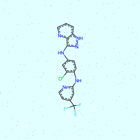 FC(F)(F)c1ccnc(Nc2ccc(Nc3n[nH]c4cccnc34)cc2Cl)c1